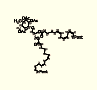 CCCCC/C=C\C/C=C\C/C=C\CCCCC(=O)OC[C@H](CO[C@@H]1O[C@H](COC(C)=O)[C@H](C)[C@H](OC(C)=O)[C@H]1OC(C)=O)OC(=O)CCCC/C=C\C/C=C\C/C=C\CCCCC